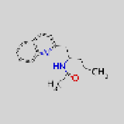 CCCC(Cc1ccc2ccccc2n1)NC(C)=O